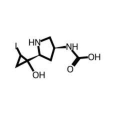 O=C(O)N[C@@H]1CN[C@H](C2(O)CC2I)C1